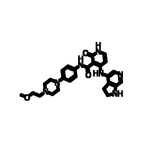 COCCN1CCN(c2ccc(NC(=O)c3c(Nc4cncc5c4CCN5)cc[nH]c3=O)cc2)CC1